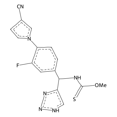 COC(=S)NC(c1ccc(-n2ccc(C#N)c2)c(F)c1)c1c[nH]nn1